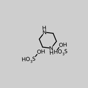 C1CNCCN1.O=S(=O)(O)O.O=S(=O)(O)O